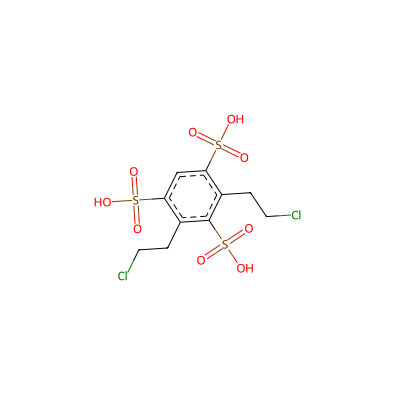 O=S(=O)(O)c1cc(S(=O)(=O)O)c(CCCl)c(S(=O)(=O)O)c1CCCl